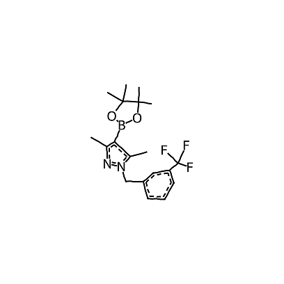 Cc1nn(Cc2cccc(C(F)(F)F)c2)c(C)c1B1OC(C)(C)C(C)(C)O1